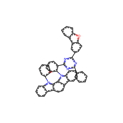 c1ccc(-c2nc(-c3ccc4oc5ccccc5c4c3)nc(-c3ccccc3-n3c4ccccc4c4ccc5c6ccccc6n(-c6ccccc6)c5c43)n2)cc1